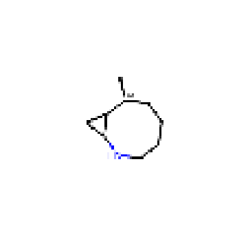 C[C@H]1CCCCNC2CC21